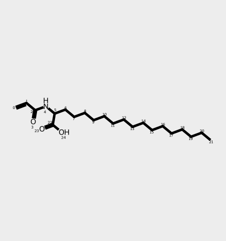 C=CC(=O)NC(CCCCCCCCCCCCCCCC)C(=O)O